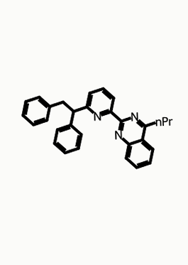 CCCc1nc(-c2cccc(C(Cc3ccccc3)c3ccccc3)n2)nc2ccccc12